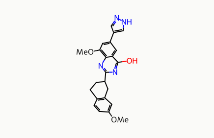 COc1ccc2c(c1)CC(c1nc(O)c3cc(-c4cn[nH]c4)cc(OC)c3n1)CC2